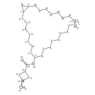 CCCCCCCCCC(CCCCCCCC1CC1CCCCCCCC)OC(=O)C1CN(C)C1